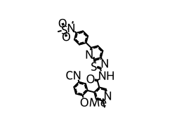 COc1ccc(C#N)cc1-c1cc(C)ncc1C(=O)Nc1nc2ccc(-c3ccc(N(C)S(C)(=O)=O)cc3)nc2s1